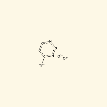 [O-2].[O-2].[Ti+4][c]1ccnnn1